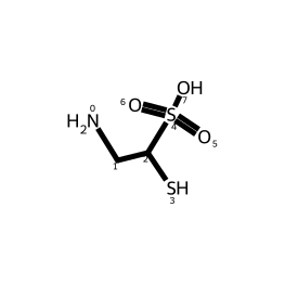 NCC(S)S(=O)(=O)O